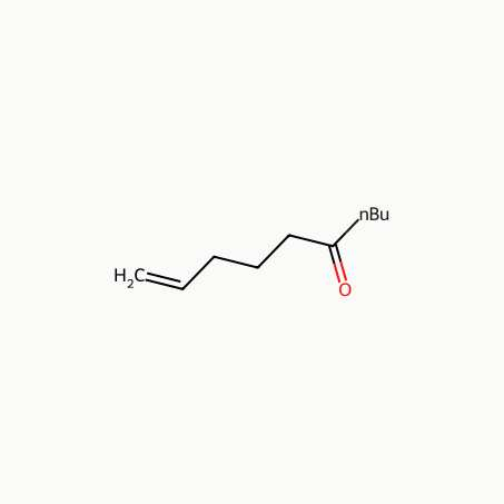 C=CCCCC(=O)CCCC